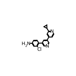 Nc1ccc(-c2cncc(-c3ccnc(C4CC4)c3)c2)c(Cl)c1